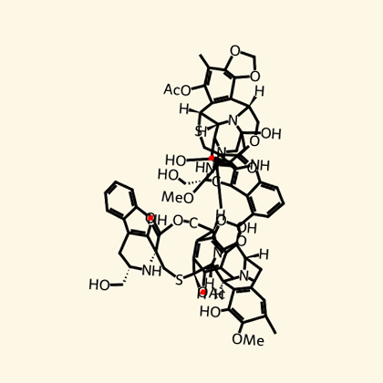 COc1c(C)cc2c(c1O)C1[C@@H]3[C@@H]4SC[C@]5(N[C@@H](CO)Cc6c5[nH]c5cccc(C7Oc8c(C)c(OC(C)=O)c9c(c8O7)[C@@H]7COC(=O)[C@]8(CS[C@H]9[C@H]9[C@@H]%10c%11c(cc(C)c(OC)c%11O)C[C@@H]([C@H](O)N97)N%10C)N[C@H](CO)Cc7c8[nH]c8ccccc78)c65)C(=O)OC[C@@H](c5c6c(c(C)c(OC(C)=O)c54)OCO6)N3C(O)(C2)CN1C